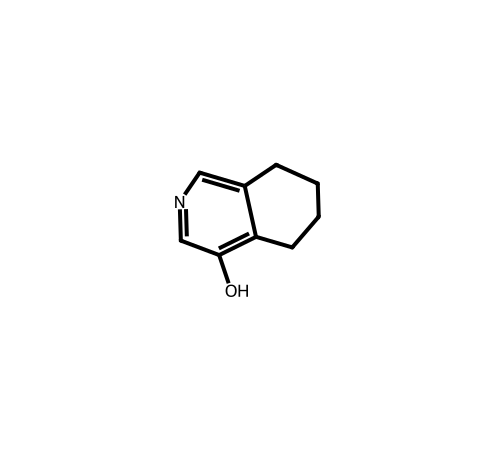 Oc1cncc2c1CCCC2